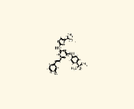 CC(C)c1cnc(Nc2nc(/C=C/c3cccc(F)c3)nc(Nc3ccc(P(C)(C)=O)cc3)n2)s1